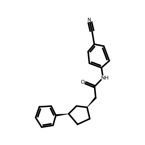 N#Cc1ccc(NC(=O)C[C@H]2CC[C@@H](c3ccccc3)C2)cc1